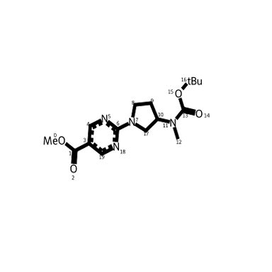 COC(=O)c1cnc(N2CCC(N(C)C(=O)OC(C)(C)C)C2)nc1